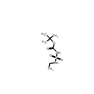 CCNS(=O)(=O)NC(=O)OC(C)(C)C